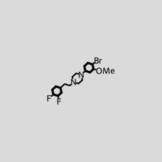 COc1cc(N2CCN(CCc3ccc(F)c(F)c3)CC2)ccc1Br